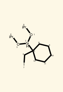 CC(C)O[SiH](OC(C)C)C1(CI)CCCCC1